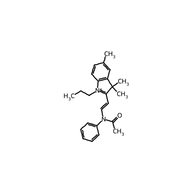 CCC[N+]1=C(/C=C/N(C(C)=O)c2ccccc2)C(C)(C)c2cc(C)ccc21